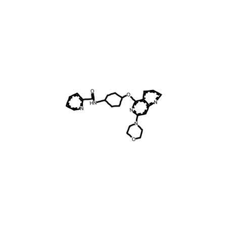 O=C(NC1CCC(Oc2nc(N3CCOCC3)cc3ncccc23)CC1)c1ccccn1